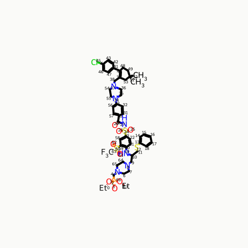 CCOP(=O)(CN1CCN(CC(CSc2ccccc2)Nc2ccc(S(=O)(=O)NC(=O)c3ccc(N4CCN(CC5=C(c6ccc(Cl)cc6)CCC(C)(C)C5)CC4)cc3)cc2S(=O)(=O)C(F)(F)F)CC1)OCC